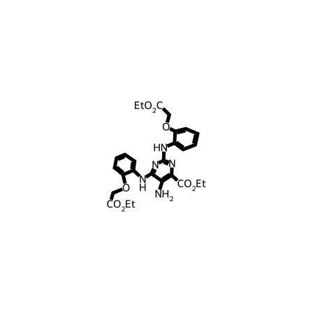 CCOC(=O)COc1ccccc1Nc1nc(Nc2ccccc2OCC(=O)OCC)c(N)c(C(=O)OCC)n1